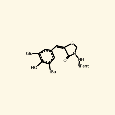 CCCCCNN1CSC(=Cc2cc(C(C)(C)C)c(O)c(C(C)(C)C)c2)C1=O